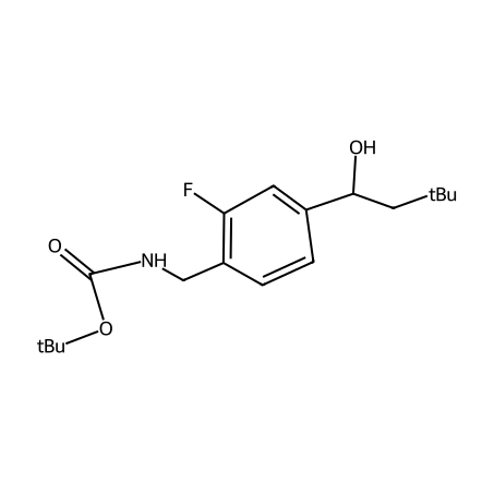 CC(C)(C)CC(O)c1ccc(CNC(=O)OC(C)(C)C)c(F)c1